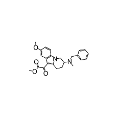 COC(=O)C(=O)c1c2n(c3ccc(OC)cc13)CC(N(C)Cc1ccccc1)CC2